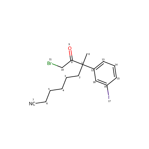 CC(CCCCCC#N)(C(=O)CBr)c1cccc(I)c1